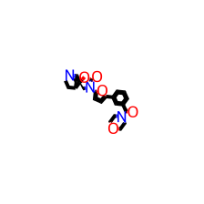 O=C(c1cccc(-c2ccc(N3C[C@@]4(CN5CCC4CC5)OC3=O)o2)c1)N1CCOCC1